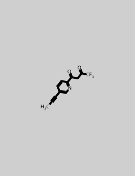 CC#Cc1ccc(C(=O)CC(=O)C(F)(F)F)nc1